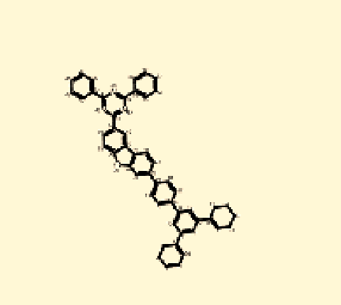 C1=CCCC(c2cc(C3=CCCCC3)cc(-c3ccc(-c4ccc5c(c4)oc4ccc(-c6nc(-c7ccccc7)nc(-c7ccccc7)n6)cc45)cc3)c2)=C1